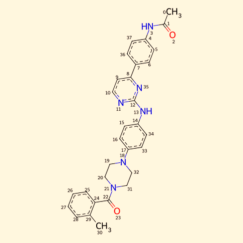 CC(=O)Nc1ccc(-c2ccnc(Nc3ccc(N4CCN(C(=O)c5ccccc5C)CC4)cc3)n2)cc1